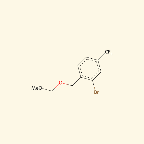 COCOCc1ccc(C(F)(F)F)cc1Br